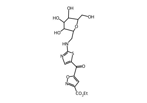 CCOC(=O)c1cc(C(=O)c2cnc(NCC3OC(CO)C(O)C(O)C3O)s2)on1